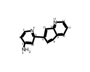 Nc1ccnc(-c2ccc3cccnc3c2)c1